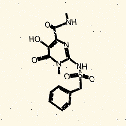 CNC(=O)c1nc(NS(=O)(=O)Cc2ccccc2)n(C)c(=O)c1O